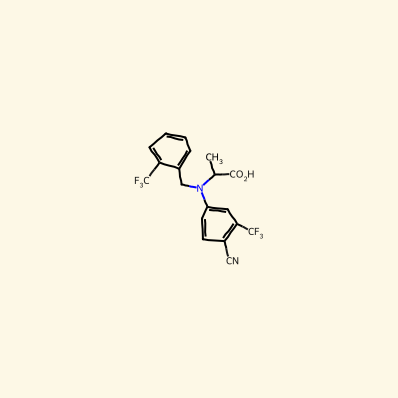 CC(C(=O)O)N(Cc1ccccc1C(F)(F)F)c1ccc(C#N)c(C(F)(F)F)c1